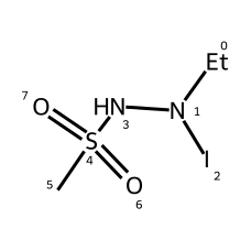 CCN(I)NS(C)(=O)=O